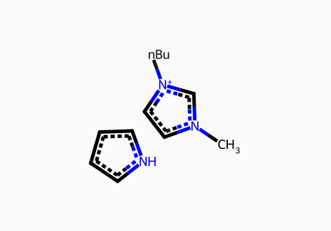 CCCC[n+]1ccn(C)c1.c1cc[nH]c1